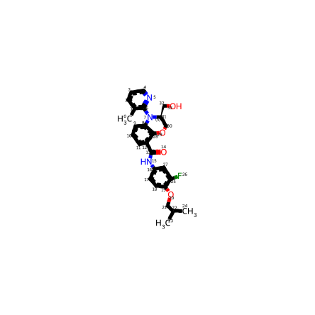 Cc1cccnc1N1c2cccc(C(=O)Nc3ccc(OCC(C)C)c(F)c3)c2OC[C@@H]1CO